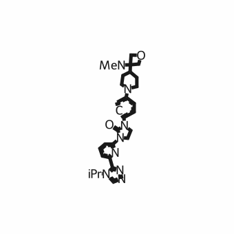 CNC1(C2CCN(c3ccc(N4CCN(c5cccc(-c6nncn6C(C)C)n5)C4=O)cc3)CC2)COC1